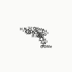 COC(=O)[C@H](C)NP(=O)(OC[C@@](C)(OC)[C@@H](O)[C@@H](O)c1ccc2c(N)ncnn12)Oc1ccc(C[C@H](N)C(=O)OC)cc1